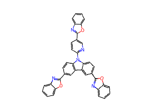 c1ccc2oc(-c3ccc(-n4c5ccc(-c6nc7ccccc7o6)cc5c5cc(-c6nc7ccccc7o6)ccc54)nc3)nc2c1